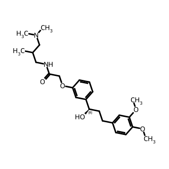 COc1ccc(CC[C@@H](O)c2cccc(OCC(=O)NCC(C)CN(C)C)c2)cc1OC